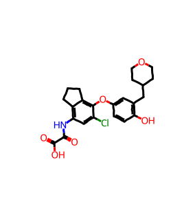 O=C(O)C(=O)Nc1cc(Cl)c(Oc2ccc(O)c(CC3CCOCC3)c2)c2c1CCC2